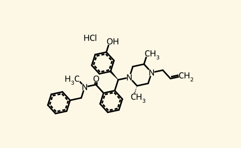 C=CCN1C[C@H](C)N([C@H](c2cccc(O)c2)c2ccccc2C(=O)N(C)Cc2ccccc2)CC1C.Cl